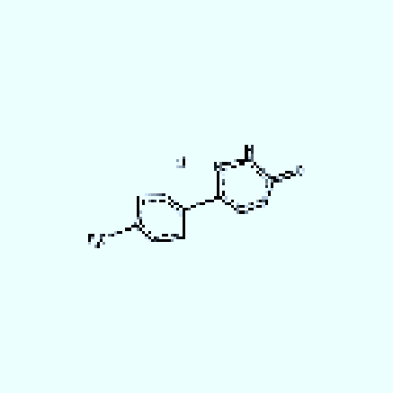 Cl.O=c1ccc(-c2ccc(C(F)(F)F)cc2)n[nH]1